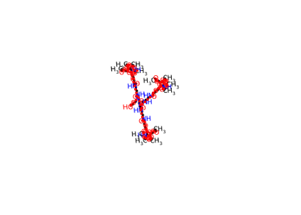 CC(=O)NC1C(OCCOCCC(=O)NCCCCNC(=O)CN(CCOCCO)CCN(CC(=O)NCCCCNC(=O)CCOCCOC2OC(COC(C)=O)C(OC(C)=O)C(OC(C)=O)C2NC(C)=O)CC(=O)NCCCCNC(=O)CCOCCOC2OC(COC(C)=O)C(OC(C)=O)C(OC(C)=O)C2NC(C)=O)OC(COC(C)=O)C(OC(C)=O)C1OC(C)=O